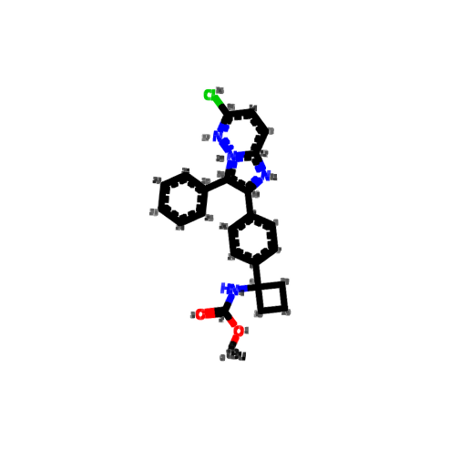 CC(C)(C)OC(=O)NC1(c2ccc(-c3nc4ccc(Cl)nn4c3-c3ccccc3)cc2)CCC1